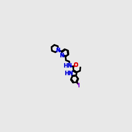 CCc1c(C(=O)NCCc2cccc(N3CCCCC3)n2)[nH]c2ccc(I)cc12